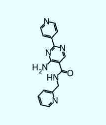 Nc1nc(-c2ccncc2)ncc1C(=O)NCc1ccccn1